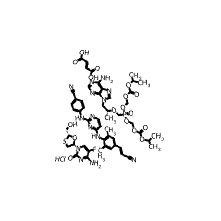 CC(C)OC(=O)OCOP(=O)(CO[C@H](C)Cn1cnc2c(N)ncnc21)OCOC(=O)OC(C)C.Cc1cc(/C=C/C#N)cc(C)c1Nc1ccnc(Nc2ccc(C#N)cc2)n1.Cl.Nc1nc(=O)n([C@@H]2CS[C@H](CO)O2)cc1F.O=C(O)/C=C/C(=O)O